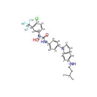 CC(C)CCNc1ccc2c(ccn2-c2ccc(NC(=O)N(O)c3ccc(Cl)c(C(F)(F)F)c3)cc2)c1